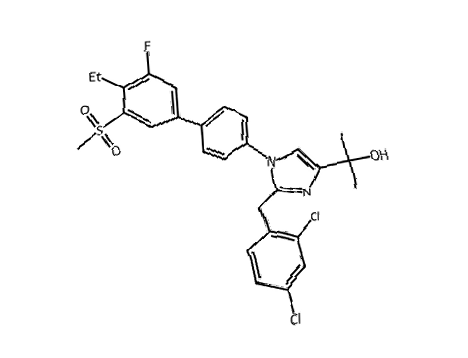 CCc1c(F)cc(-c2ccc(-n3cc(C(C)(C)O)nc3Cc3ccc(Cl)cc3Cl)cc2)cc1S(C)(=O)=O